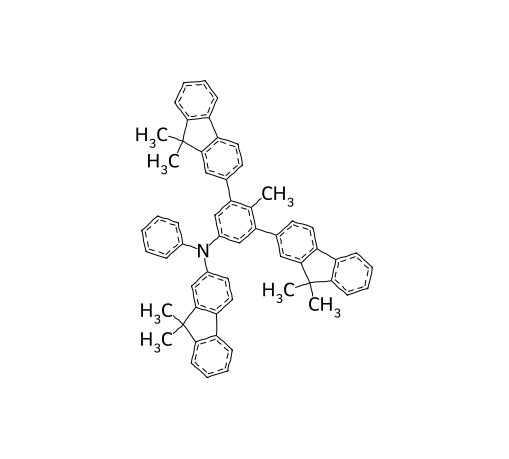 Cc1c(-c2ccc3c(c2)C(C)(C)c2ccccc2-3)cc(N(c2ccccc2)c2ccc3c(c2)C(C)(C)c2ccccc2-3)cc1-c1ccc2c(c1)C(C)(C)c1ccccc1-2